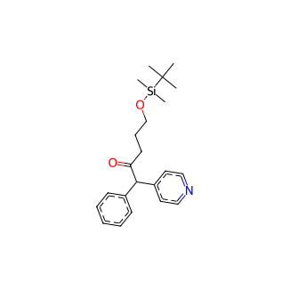 CC(C)(C)[Si](C)(C)OCCCC(=O)C(c1ccccc1)c1ccncc1